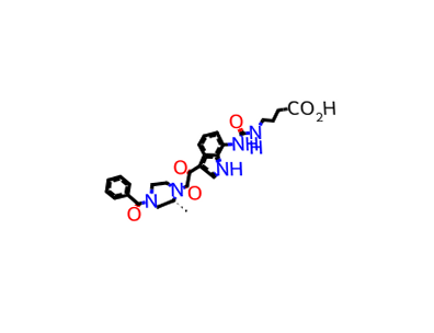 C[C@@H]1CN(C(=O)c2ccccc2)CCN1C(=O)C(=O)c1c[nH]c2c(NC(=O)NCCCC(=O)O)cccc12